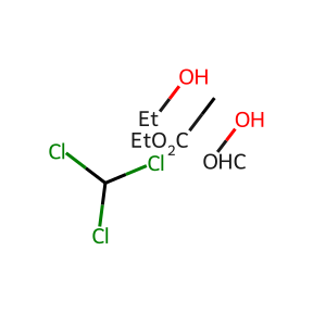 CCO.CCOC(C)=O.ClC(Cl)Cl.O=CO